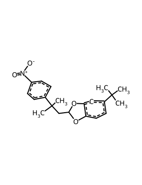 CC(C)(C)c1ccc2c(c1)OC(CC(C)(C)c1ccc([N+](=O)[O-])cc1)O2